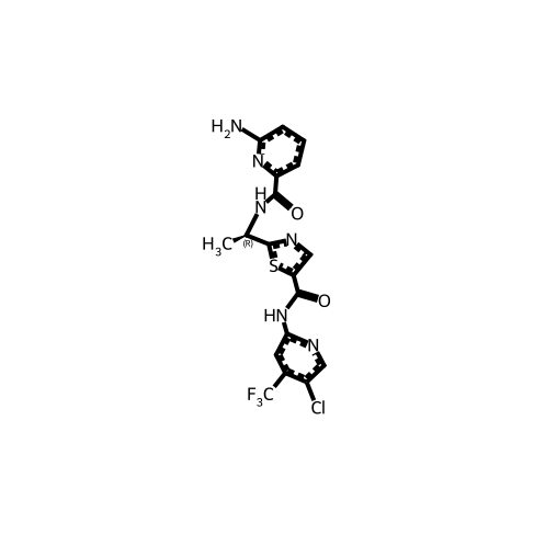 C[C@@H](NC(=O)c1cccc(N)n1)c1ncc(C(=O)Nc2cc(C(F)(F)F)c(Cl)cn2)s1